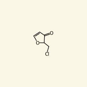 O=C1C=COC1CCl